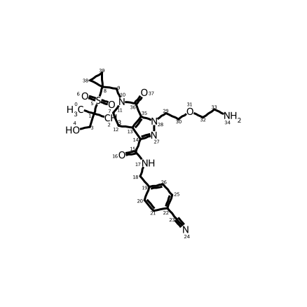 CC(C)(CO)S(=O)(=O)C1(CN2CCc3c(C(=O)NCc4ccc(C#N)cc4)nn(CCOCCN)c3C2=O)CC1